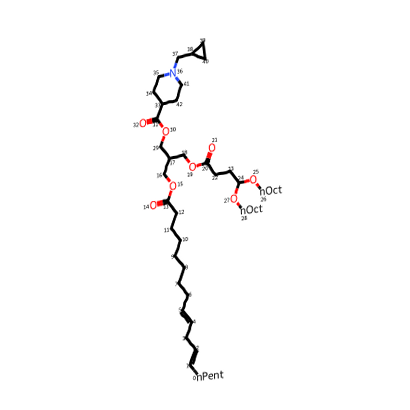 CCCCCC=CCC=CCCCCCCCC(=O)OCC(COC(=O)CCC(OCCCCCCCC)OCCCCCCCC)COC(=O)C1CCN(CC2CC2)CC1